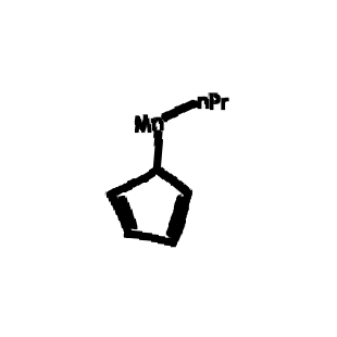 CC[CH2][Mn][CH]1C=CC=C1